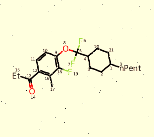 CCCCCC1CCC(C(F)(F)Oc2ccc(C(=O)CC)c(C)c2F)CC1